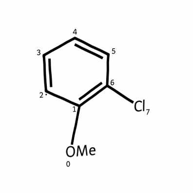 COc1[c]cccc1Cl